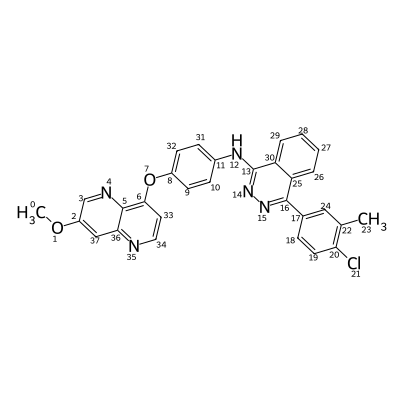 COc1cnc2c(Oc3ccc(Nc4nnc(-c5ccc(Cl)c(C)c5)c5ccccc45)cc3)ccnc2c1